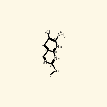 CSc1ncc2cc(Cl)c(N)nc2n1